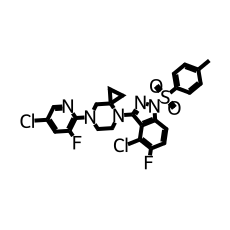 Cc1ccc(S(=O)(=O)n2nc(N3CCN(c4ncc(Cl)cc4F)CC34CC4)c3c(Cl)c(F)ccc32)cc1